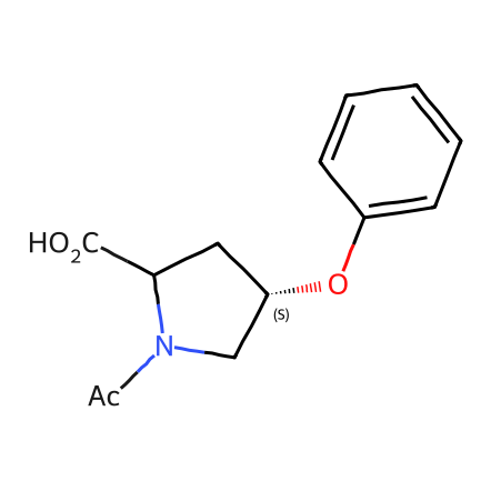 CC(=O)N1C[C@@H](Oc2ccccc2)CC1C(=O)O